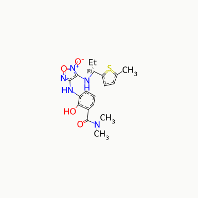 CC[C@@H](Nc1c(Nc2cccc(C(=O)N(C)C)c2O)no[n+]1[O-])c1ccc(C)s1